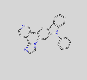 c1ccc(-n2c3ccccc3c3cc4c5cnccc5c5nccn5c4cc32)cc1